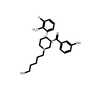 Cc1c(F)cccc1[C@H]1[CH]CN(CCCCCO)C[C@@H]1C(=O)c1cccc(O)c1